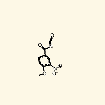 COc1ccc(C(=O)N=C=O)cc1[N+](=O)[O-]